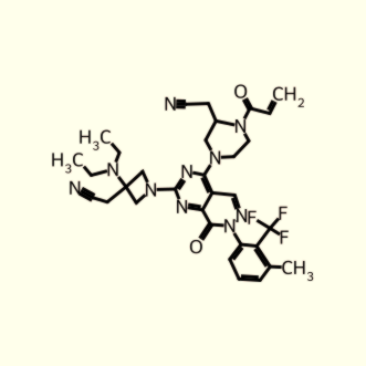 C=CC(=O)N1CCN(c2nc(N3CC(CC#N)(N(CC)CC)C3)nc3c(=O)n(-c4cccc(C)c4C(F)(F)F)ncc23)CC1CC#N